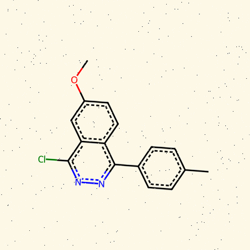 COc1ccc2c(-c3ccc(C)cc3)nnc(Cl)c2c1